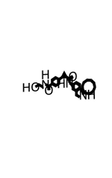 O=C(NCCO)c1ccc(C2CC2C(=O)Nc2ccc3c(c2)CCNC32CCCCCCCCC2)cc1